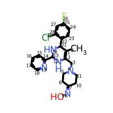 CC1=C(CN2CCC(=NO)CC2)NC(c2ccccn2)NC1c1ccc(F)cc1Cl